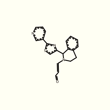 O=CC=CN1CCc2ccccc2C1c1csc(-c2cccnc2)n1